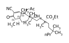 CCCC(C)(C)CC[C@@](C)(CCC(C)(C)[C@]1(C)CC[C@H]2[C@H](C)C(=O)C(C#N)=C[C@]2(C)[C@H]1CC(C)=O)C(=O)OCC